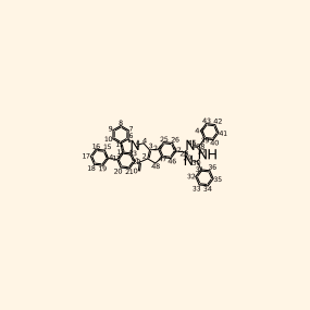 C=CC1=C(Cn2c3ccccc3c3c(-c4ccccc4)cccc32)c2ccc(C3=NC(c4ccccc4)NC(c4ccccc4)=N3)cc2C1